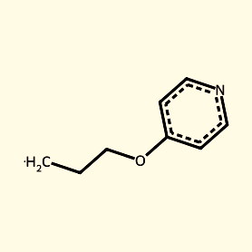 [CH2]CCOc1ccncc1